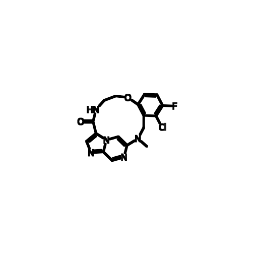 CN1Cc2c(ccc(F)c2Cl)OCCNC(=O)c2cnc3cnc1cn23